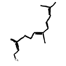 CC(C)=CCCC(C)=CCCC(C)=C[CH]Cl